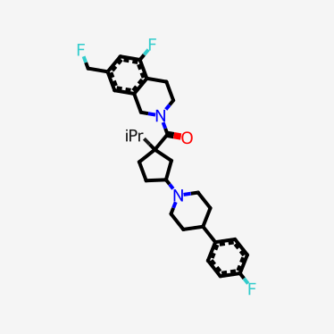 CC(C)C1(C(=O)N2CCc3c(F)cc(CF)cc3C2)CCC(N2CCC(c3ccc(F)cc3)CC2)C1